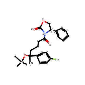 C[Si](C)(C)OC(C#N)(CCCC(=O)N1C(=O)OC[C@@H]1c1ccccc1)c1ccc(F)cc1